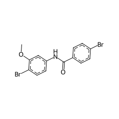 COc1cc(NC(=O)c2ccc(Br)cc2)ccc1Br